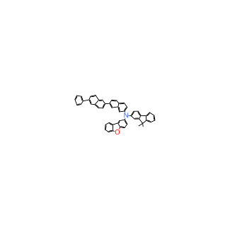 CC1(C)c2ccccc2-c2ccc(N(c3ccc4ccc(-c5ccc6cc(-c7ccccc7)ccc6c5)cc4c3)c3ccc4oc5ccccc5c4c3)cc21